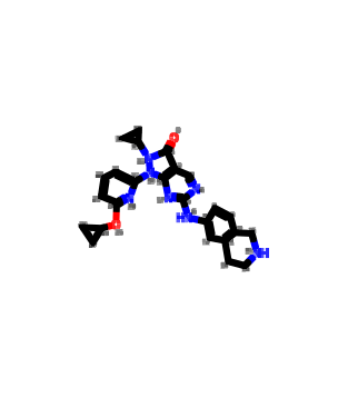 O=c1c2cnc(Nc3ccc4c(c3)CCNC4)nc2n(-c2cccc(OC3CC3)n2)n1C1CC1